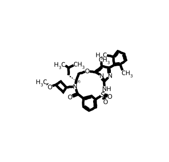 COC1CC(N2C(=O)c3cccc(c3)S(=O)(=O)Nc3nc(c(C)c(-c4c(C)cccc4C)n3)OC[C@H]2CC(C)C)C1